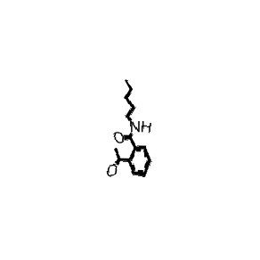 CCCCCNC(=O)c1ccccc1C(C)=O